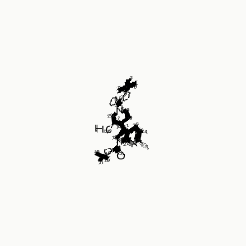 CC(C)(C)OC(=O)N1CCC(c2cn(C(=O)OC(C)(C)C)c3ncccc23)[C@H](O)C1